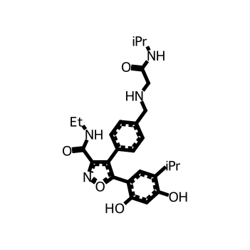 CCNC(=O)c1noc(-c2cc(C(C)C)c(O)cc2O)c1-c1ccc(CNCC(=O)NC(C)C)cc1